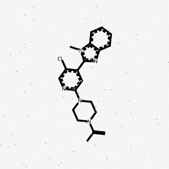 C=C(C)N1CCN(c2cc(-c3nc4ccccc4n3C)c(Cl)cn2)CC1